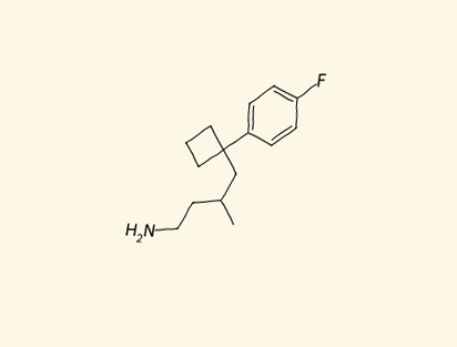 CC(CCN)CC1(c2ccc(F)cc2)CCC1